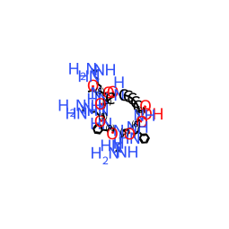 CC(=O)N[C@@H](CCCNC(=N)N)C(=O)N[C@H]1CC(=O)NCCCCC[C@@H](C(=O)O)NC(=O)[C@H](Cc2c[nH]c3ccccc23)NC(=O)[C@H](CCCNC(=N)N)NC(=O)[C@@H](Cc2ccccc2)NC(=O)[C@H](CCCNC(=N)N)NC1=O